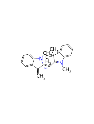 C=c1/c(=C/C2=[N+](C)c3ccccc3C2(C)C)n(C)c2ccccc12